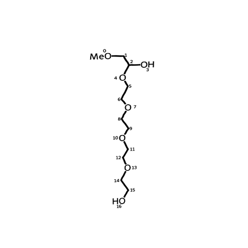 COCC(O)OCCOCCOCCOCCO